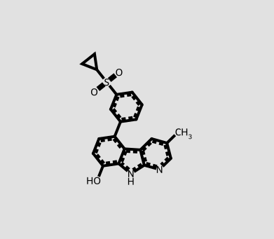 Cc1cnc2[nH]c3c(O)ccc(-c4cccc(S(=O)(=O)C5CC5)c4)c3c2c1